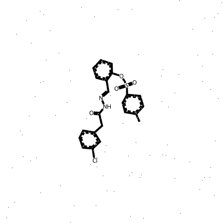 Cc1ccc(S(=O)(=O)Oc2ccccc2C=NNC(=O)Cc2cccc(Cl)c2)cc1